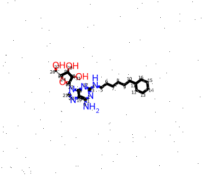 Nc1nc(NCCCCCCC2CCCCC2)nc2c1ncn2[C@@H]1O[C@H](CO)[C@@H](O)[C@H]1O